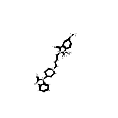 CCOc1ccc2c(c1)C(=O)N(CCCCN1CCC(n3c(=O)oc4ccccc43)CC1)S2(O)O